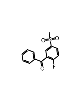 CS(=O)(=O)c1ccc(F)c(C(=O)c2ccccc2)c1